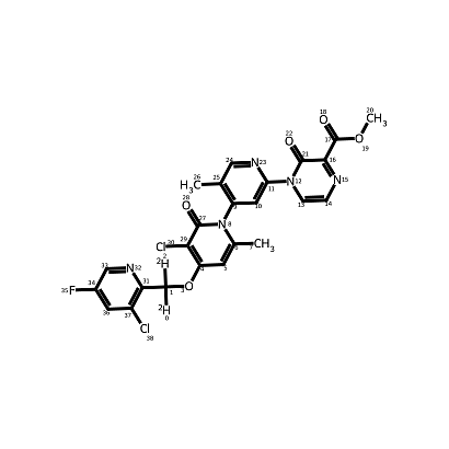 [2H]C([2H])(Oc1cc(C)n(-c2cc(-n3ccnc(C(=O)OC)c3=O)ncc2C)c(=O)c1Cl)c1ncc(F)cc1Cl